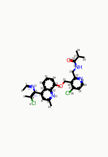 C/C=N\C(=C(/C)Cl)c1cc(C)nc2c(OCc3c(Cl)ccnc3CNC(=O)C(C)C)cccc12